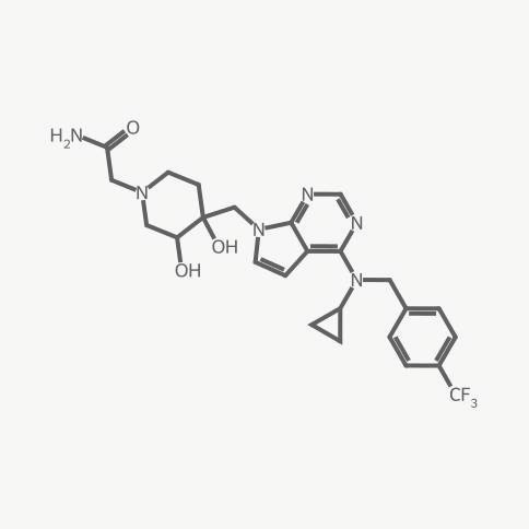 NC(=O)CN1CCC(O)(Cn2ccc3c(N(Cc4ccc(C(F)(F)F)cc4)C4CC4)ncnc32)C(O)C1